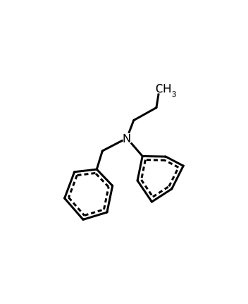 CCCN(Cc1ccccc1)c1ccccc1